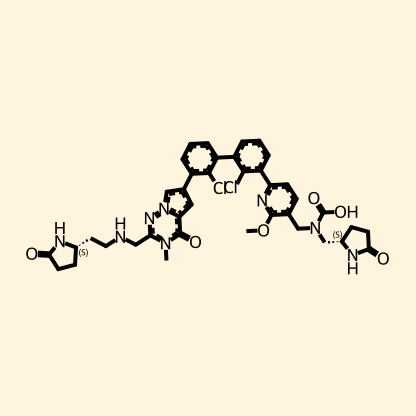 COc1nc(-c2cccc(-c3cccc(-c4cc5c(=O)n(C)c(CNCC[C@@H]6CCC(=O)N6)nn5c4)c3Cl)c2Cl)ccc1CN(C[C@@H]1CCC(=O)N1)C(=O)O